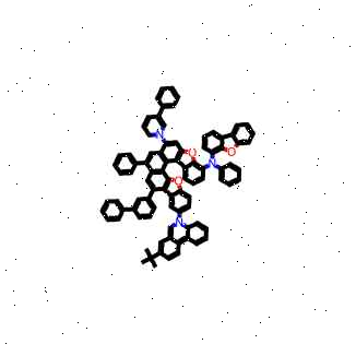 CC(C)(C)c1ccc2c(c1)=CN(c1ccc3oc4c(c(-c5cccc(-c6ccccc6)c5)cc5c(-c6ccccc6)cc6c(N7C=C(c8ccccc8)C=CC7)cc7oc8c(N(c9ccccc9)c9cccc%10c9oc9ccccc9%10)cccc8c7c6c54)c3c1)C1C=CC=CC=21